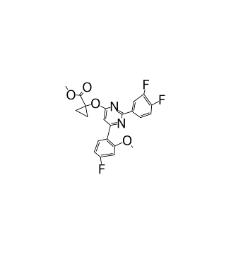 COC(=O)C1(Oc2cc(-c3ccc(F)cc3OC)nc(-c3ccc(F)c(F)c3)n2)CC1